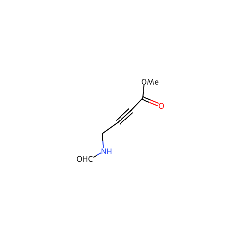 COC(=O)C#CCNC=O